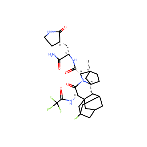 NC(=O)[C@H](C[C@@H]1CCNC1=O)NC(=O)[C@@H]1[C@H]2CC[C@H](C2)N1C(=O)[C@@H](NC(=O)C(F)(F)F)C12CC3CC(CC(F)(C3)C1)C2